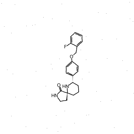 O=C1NCC[C@@]12CCC[C@@H](c1ccc(OCc3ccccc3F)cc1)N2